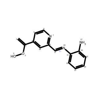 C=C(OO)c1ccnc(/C=N/c2ccccc2N)c1